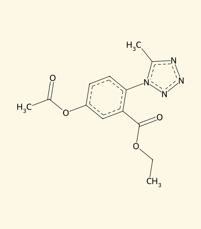 CCOC(=O)c1cc(OC(C)=O)ccc1-n1nnnc1C